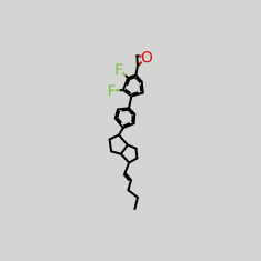 CCC/C=C/C1CCC2C(c3ccc(-c4ccc(C5CO5)c(F)c4F)cc3)CCC12